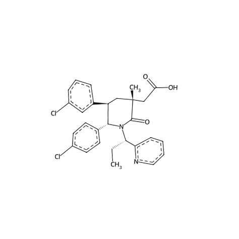 CC[C@@H](c1ccccn1)N1C(=O)[C@@](C)(CC(=O)O)C[C@H](c2cccc(Cl)c2)[C@H]1c1ccc(Cl)cc1